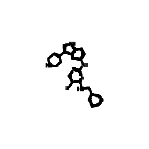 Brc1cnc(Nc2ccc3[nH]cc(C4=CCNCC4)c3c2)nc1NCc1ccccc1